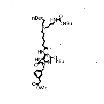 CCCCCCCCCCCCN(CCCCCC(=O)Nc1nc(OCCCC)nc2c1[nH]c(=O)n2Cc1cccc(CC(=O)OC)c1)CCCNC(=O)OC(C)(C)C